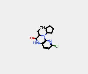 CCC1C(=O)Nc2ccc(Cl)nc2N1C1CCCC1